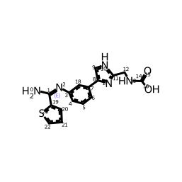 N/C(=N/c1cccc(-c2c[nH]c(CNC(=O)O)n2)c1)c1cccs1